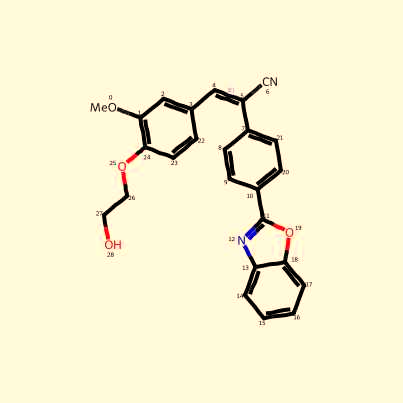 COc1cc(/C=C(/C#N)c2ccc(-c3nc4ccccc4o3)cc2)ccc1OCCO